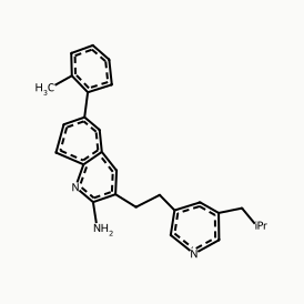 Cc1ccccc1-c1ccc2nc(N)c(CCc3cncc(CC(C)C)c3)cc2c1